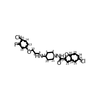 O=C(NN1CCC(NCCCOc2ccc(Cl)c(F)c2)CC1)c1cc2cc(Cl)ccc2o1